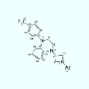 CC(=O)N1CC(N2CCN(c3ccc(C(F)(F)F)cc3)c3ccccc32)C1